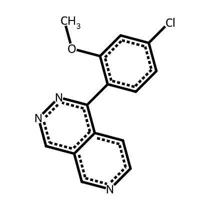 COc1cc(Cl)ccc1-c1nncc2cnccc12